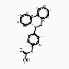 O=C(O)Cc1ccc(CCc2ccccc2-c2ccccc2)cc1